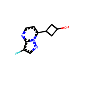 OC1CC(c2ccnc3c(F)cnn23)C1